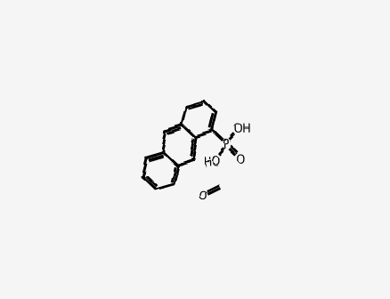 C=O.O=P(O)(O)c1cccc2cc3ccccc3cc12